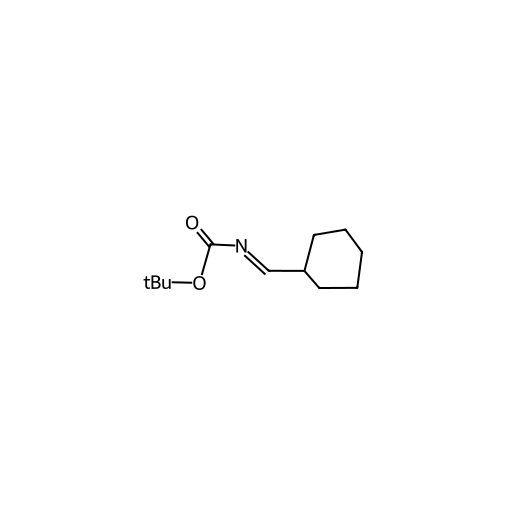 CC(C)(C)OC(=O)N=CC1CCCCC1